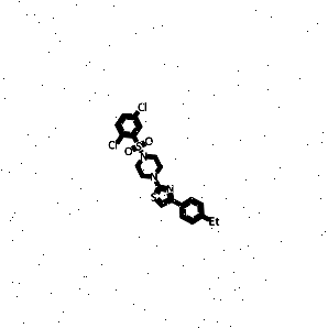 CCc1ccc(-c2csc(N3CCN(S(=O)(=O)c4cc(Cl)ccc4Cl)CC3)n2)cc1